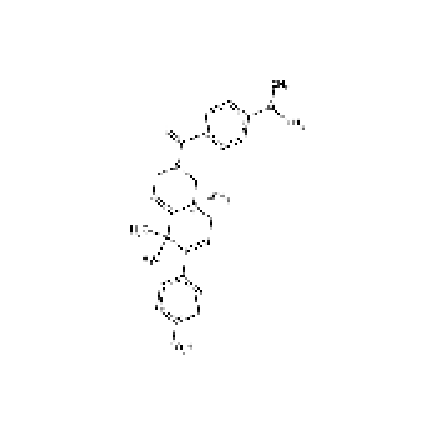 CN(C)c1ccc(C(=O)N2CC=C3C(C)(C)C(c4ccc(C(=O)O)cc4)=CC[C@]3(C)C2)cc1